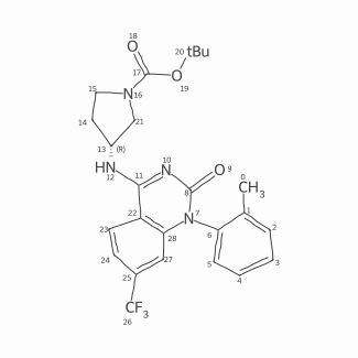 Cc1ccccc1-n1c(=O)nc(N[C@@H]2CCN(C(=O)OC(C)(C)C)C2)c2ccc(C(F)(F)F)cc21